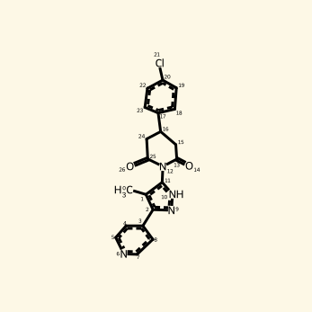 Cc1c(-c2ccncc2)n[nH]c1N1C(=O)CC(c2ccc(Cl)cc2)CC1=O